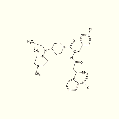 CC(C)CN(C1CCN(C(=O)[C@@H](Cc2ccc(Cl)cc2)NC(=O)CC(N)c2ccccc2[N+](=O)[O-])CC1)N1CCN(C)CC1